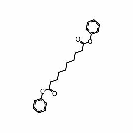 O=C(CCCCCCCCC(=O)Oc1ccccc1)Oc1ccccc1